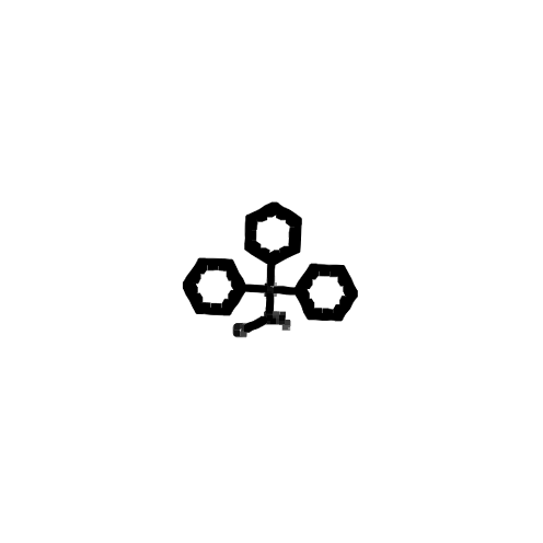 Cl[SiH2][Si](c1ccccc1)(c1ccccc1)c1ccccc1